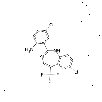 Nc1ccc(Cl)cc1C1=NC=C(C(F)(F)F)c2cc(Cl)ccc2N1